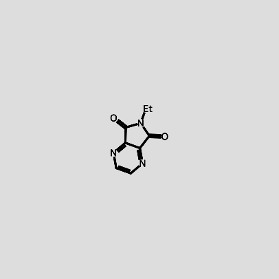 CCN1C(=O)c2nccnc2C1=O